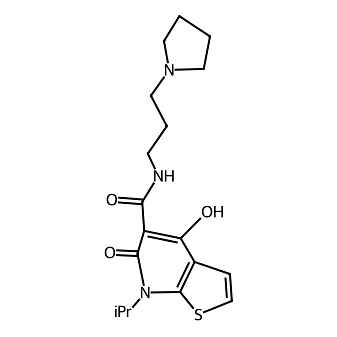 CC(C)n1c(=O)c(C(=O)NCCCN2CCCC2)c(O)c2ccsc21